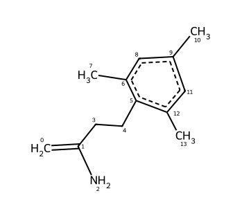 C=C(N)CCc1c(C)cc(C)cc1C